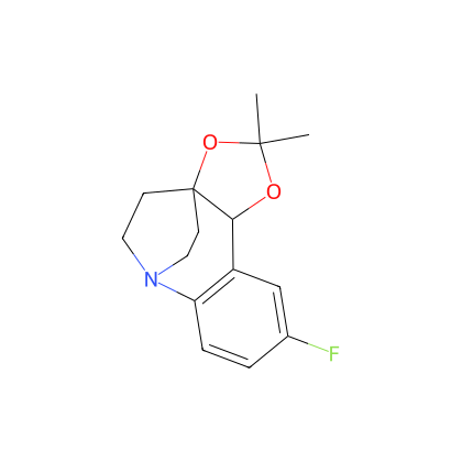 CC1(C)OC2c3cc(F)ccc3N3CCC2(CC3)O1